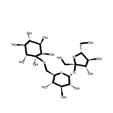 OC[C@H]1O[C@@](CO)(O[C@H]2O[C@H](CO[C@]3(O)[C@H](O)[C@H](O)[C@@H](O)[C@H](O)[C@H]3O)[C@@H](O)[C@H](O)[C@H]2O)[C@@H](O)[C@@H]1O